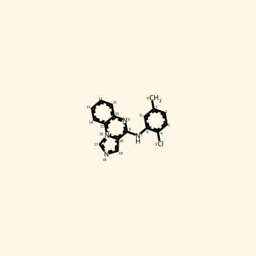 Cc1ccc(Cl)c(Nc2nc3ccccc3n3cncc23)c1